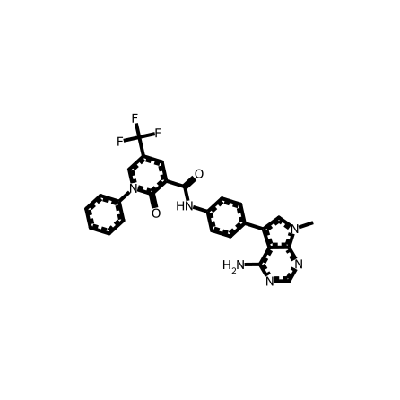 Cn1cc(-c2ccc(NC(=O)c3cc(C(F)(F)F)cn(-c4ccccc4)c3=O)cc2)c2c(N)ncnc21